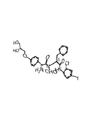 N[C@@H](C(=O)N(C=O)[C@@H](Cc1ccccc1)C(=O)Nc1ccc(I)cc1Cl)c1ccc(OC[C@H](O)CO)cc1